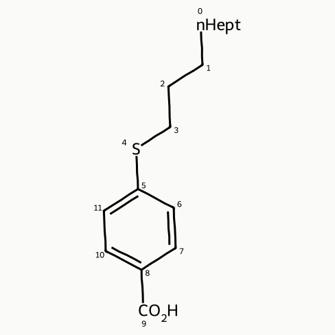 CCCCCCCCCCSc1ccc(C(=O)O)cc1